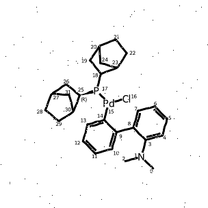 CN(C)c1ccccc1-c1cccc[c]1[Pd]([Cl])[P](C1CC2CCC1C2)[C@@H]1CC2CCC1C2